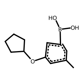 Cc1cc(OC2CCCC2)cc(B(O)O)c1